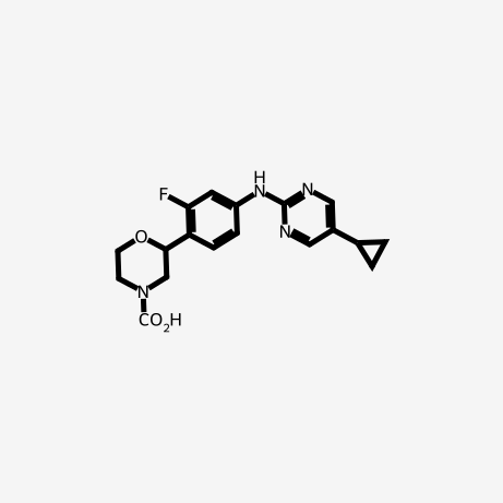 O=C(O)N1CCOC(c2ccc(Nc3ncc(C4CC4)cn3)cc2F)C1